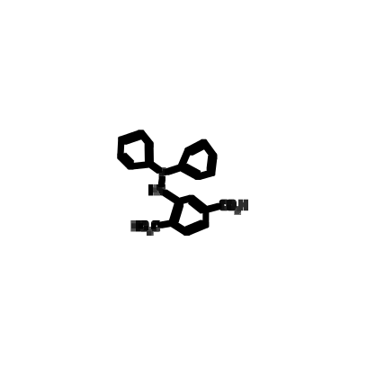 O=C(O)c1ccc(C(=O)O)c(NP(c2ccccc2)c2ccccc2)c1